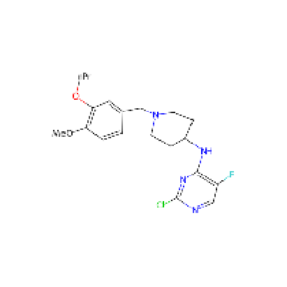 CCCOc1cc(CN2CCC(Nc3nc(Cl)ncc3F)CC2)ccc1OC